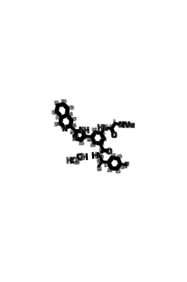 CNCC(=O)Nc1cc(C(=O)N[C@H](C)c2ccc(F)cc2)cc(-c2cnc(-c3cc4ccccc4cn3)[nH]2)c1.Cl.Cl